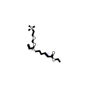 C=C[C@@H](CCC/C=C/C(=O)OCC)OCOCC[Si](C)(C)C